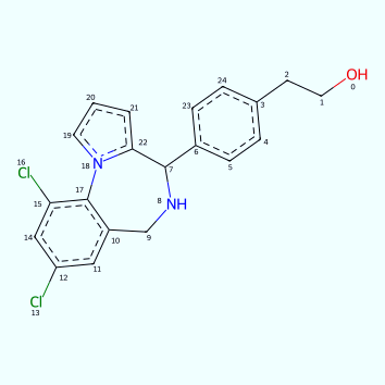 OCCc1ccc(C2NCc3cc(Cl)cc(Cl)c3-n3cccc32)cc1